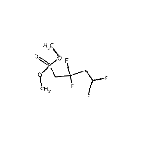 COP(=O)(CC(F)(F)CC(F)F)OC